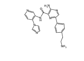 NCCc1ccc(-c2cnc(N)c(C(=O)Nc3cnccc3-n3ccnc3)n2)cc1